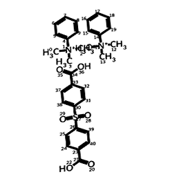 C[N+](C)(C)c1ccccc1.C[N+](C)(C)c1ccccc1.O=C(O)c1ccc(S(=O)(=O)c2ccc(C(=O)O)cc2)cc1